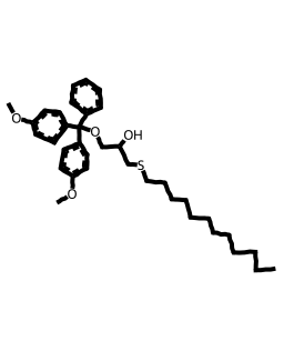 CCCCCCCCCCCCSCC(O)COC(c1ccccc1)(c1ccc(OC)cc1)c1ccc(OC)cc1